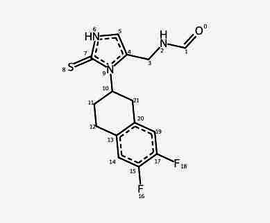 O=CNCc1c[nH]c(=S)n1C1CCc2cc(F)c(F)cc2C1